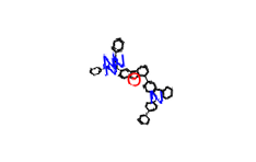 c1ccc(-c2ccc(-n3c4ccccc4c4cc(-c5cccc6c5oc5ccc(-c7nc(-c8ccccc8)nc(-c8ccccc8)n7)cc56)ccc43)cc2)cc1